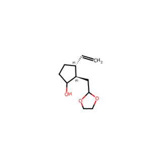 C=C[C@H]1CCC(O)[C@@H]1CC1OCCO1